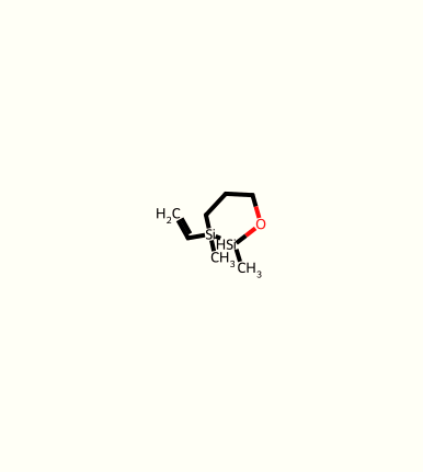 C=C[Si]1(C)CCCO[SiH]1C